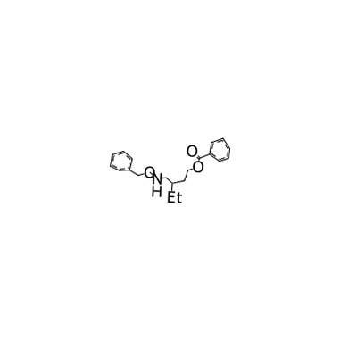 CCC(CCOC(=O)c1ccccc1)CNOCc1ccccc1